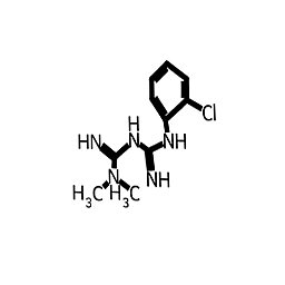 CN(C)C(=N)NC(=N)Nc1ccccc1Cl